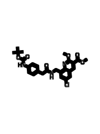 COC(=O)c1cc2cc(Cl)cc(CNC(=O)Cc3ccc(NC(=O)OC(C)(C)C)cc3)c2nc1OC